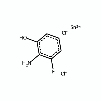 Nc1c(O)cccc1F.[Cl-].[Cl-].[Sn+2]